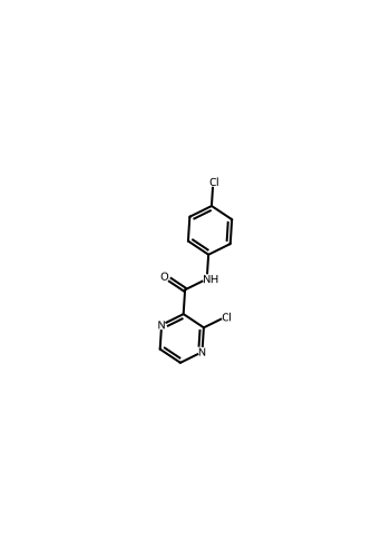 O=C(Nc1ccc(Cl)cc1)c1nccnc1Cl